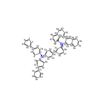 c1ccc(-c2ccc(N(c3ccc(-c4ccccc4)cc3)c3ccc(-c4cccc(N5c6cc7ccccc7cc6-c6cccc7cccc5c67)c4)cc3)cc2)cc1